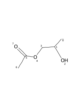 [CH2]C(O)COC(C)=O